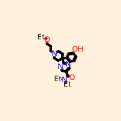 CCOCCCN1CCC(c2cccc(O)c2)(c2ncc(C(=O)N(CC)CC)cn2)CC1